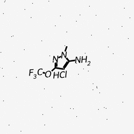 Cl.Cn1nc(OC(F)(F)F)cc1N